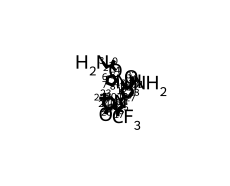 C=C(CN)O[C@H]1CCC[C@@H]1Nc1cc(-n2cc(C(F)(F)F)c3c2CC(C)(C)CC3=O)ccc1C(N)=O